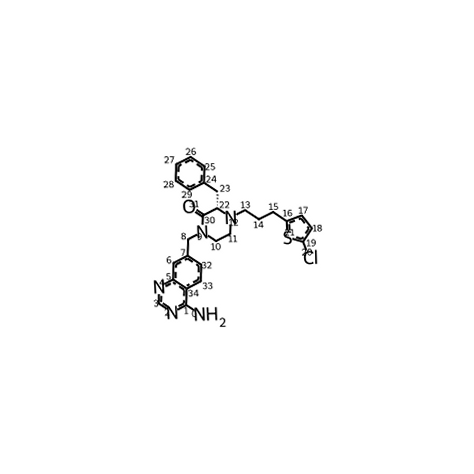 Nc1ncnc2cc(CN3CCN(CCCc4ccc(Cl)s4)[C@@H](Cc4ccccc4)C3=O)ccc12